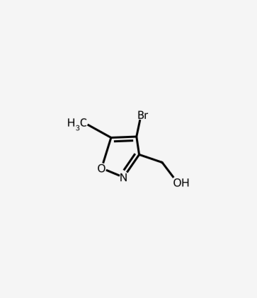 Cc1onc(CO)c1Br